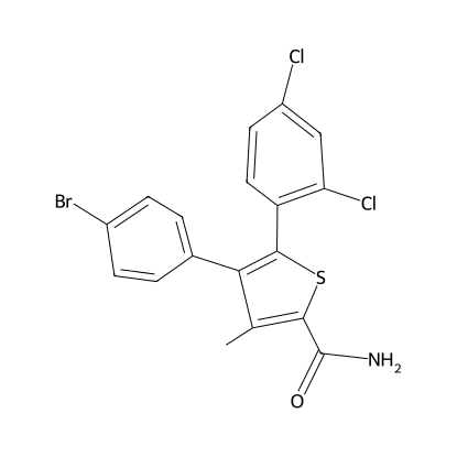 Cc1c(C(N)=O)sc(-c2ccc(Cl)cc2Cl)c1-c1ccc(Br)cc1